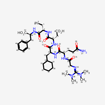 CC(C)C[C@H](NC(=O)[C@H](CC(=O)O)NC(=O)[C@H](CC1CCCCC1)NC(=O)[C@H](CCC(N)=O)NC(=O)CN=C(N(C)C)N(C)C)C(=O)N[C@@H](Cc1ccccc1)C(=O)O